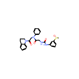 C[S+]([O-])c1cccc(NC(=O)NCC(=O)N(CC(=O)N2CCCc3ccccc32)c2ccccc2)c1